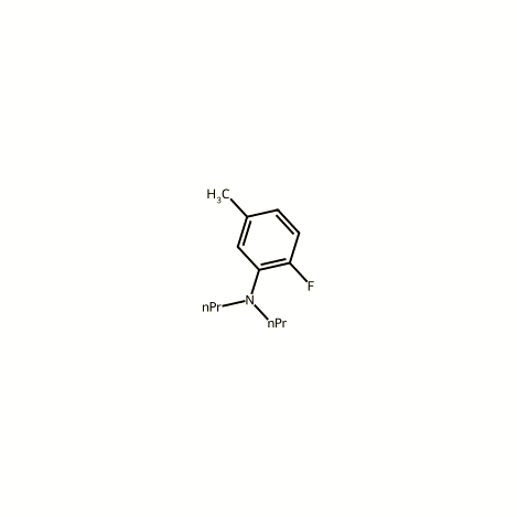 CCCN(CCC)c1cc(C)ccc1F